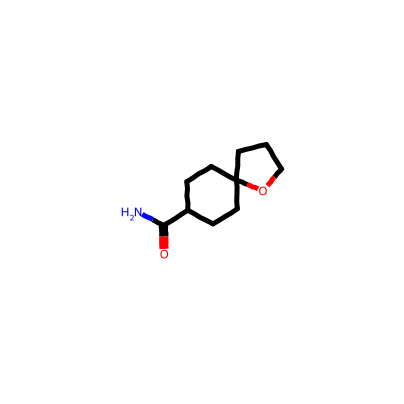 NC(=O)C1CCC2(CCCO2)CC1